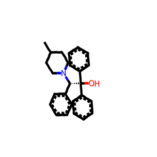 CC1CCN([C@@H](c2ccccc2)C(O)(c2ccccc2)c2ccccc2)CC1